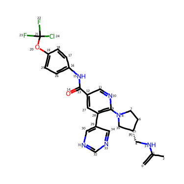 C=C(C)NC[C@H]1CCN(c2ncc(C(=O)Nc3ccc(OC(F)(F)Cl)cc3)cc2-c2cncnc2)C1